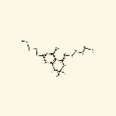 CCCCCc1cc(O)c2c(c1)OC(C)(C)CC2=NCCCCO